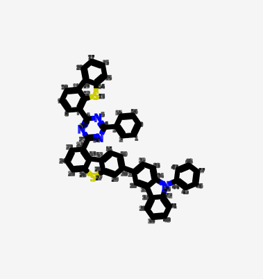 c1ccc(-c2nc(-c3cccc4c3sc3ccccc34)nc(-c3cccc4sc5cc(-c6ccc7c(c6)c6ccccc6n7-c6ccccc6)ccc5c34)n2)cc1